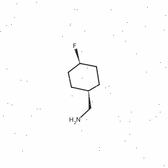 NC[C@H]1CC[C@@H](F)CC1